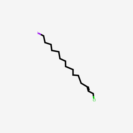 ClCC=CCCCCCCCCCCCCI